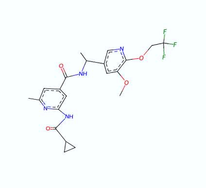 COc1cc(C(C)NC(=O)c2cc(C)nc(NC(=O)C3CC3)c2)cnc1OCC(F)(F)F